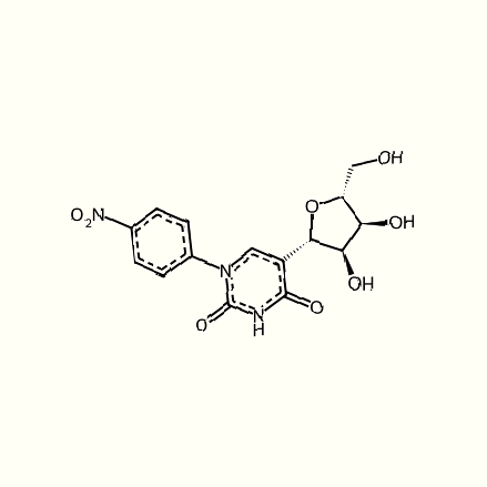 O=c1[nH]c(=O)n(-c2ccc([N+](=O)[O-])cc2)cc1[C@@H]1O[C@H](CO)[C@@H](O)[C@H]1O